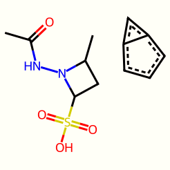 CC(=O)NN1C(C)CC1S(=O)(=O)O.c1cc2cc-2c1